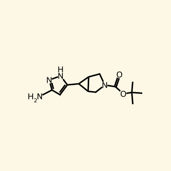 CC(C)(C)OC(=O)N1CC2C(C1)C2c1cc(N)n[nH]1